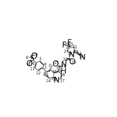 Cc1c(-c2ccc(S(C)(=O)=O)cc2)ccc2nccc(C(=O)NCC(=O)N3CC(F)(F)C[C@H]3C#N)c12